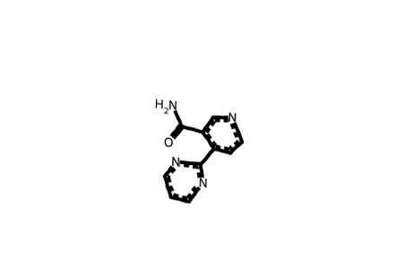 NC(=O)c1cnccc1-c1ncccn1